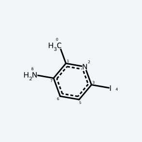 Cc1nc(I)ccc1N